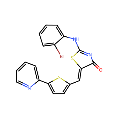 O=C1N=C(Nc2ccccc2Br)SC1=Cc1ccc(-c2ccccn2)s1